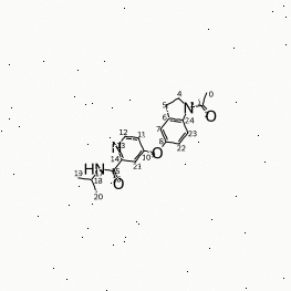 CC(=O)N1CCc2cc(Oc3ccnc(C(=O)NC(C)C)c3)ccc21